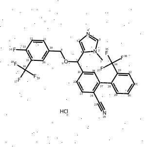 Cl.Cn1cncc1C(OCc1ccc(F)c(C(F)(F)F)c1)c1ccc(C#N)c(-c2ccccc2C(F)(F)F)c1